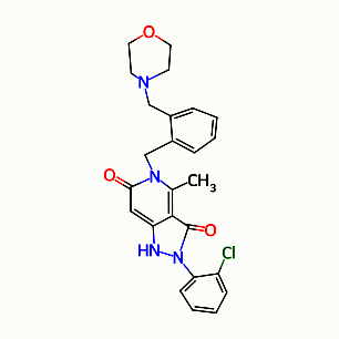 Cc1c2c(=O)n(-c3ccccc3Cl)[nH]c2cc(=O)n1Cc1ccccc1CN1CCOCC1